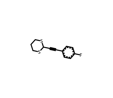 Fc1ccc(C#CC2SCCCS2)cc1